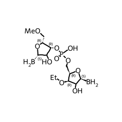 B[C@@H]1O[C@H](COP(=O)(O)O[C@@H]2C(O)[C@H](B)O[C@@H]2COC)[C@H](OCC)C1O